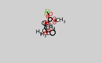 CCC(C)(CC(C)(C)C(=O)OC1(C)CCCCCCC1)C(=O)OC1CC(OC(C)=O)CC(OC(=O)C(F)(F)F)C1